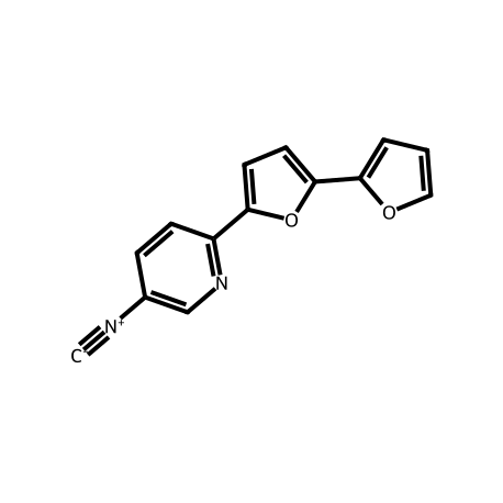 [C-]#[N+]c1ccc(-c2ccc(-c3ccco3)o2)nc1